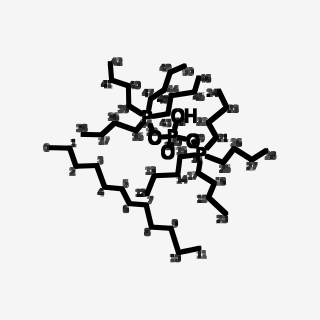 CCCCCCCCCCCC.CCCCP(CCCC)(CCCC)(CCCC)OP(=O)(O)OP(CCCC)(CCCC)(CCCC)CCCC